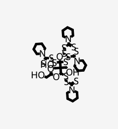 O=C(CO)OC(SSC(=S)N1CCCCC1)C(CO)(CO)C(OSSC(=S)N1CCCCC1)(SSC(=S)N1CCCCC1)SSC(=S)N1CCCCC1